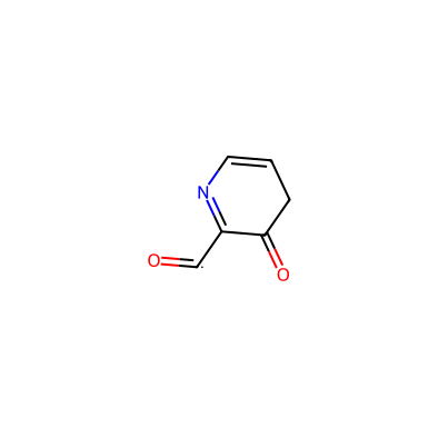 O=[C]C1=NC=CCC1=O